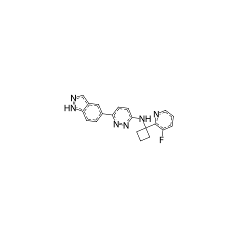 Fc1cccnc1C1(Nc2ccc(-c3ccc4[nH]ncc4c3)nn2)CCC1